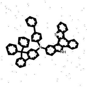 c1ccc(-c2ccc(N(c3ccc4c(c3)C(c3ccccc3)(c3ccccc3)c3ccccc3-4)c3ccc4[nH]c5c6ccccc6c6c7ccccc7sc6c5c4c3)cc2)cc1